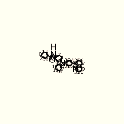 c1ccc(C2Nc3ccc4c(c3O2)c2ccccc2n4-c2ccc(-c3cccc4cccnc34)cc2)cc1